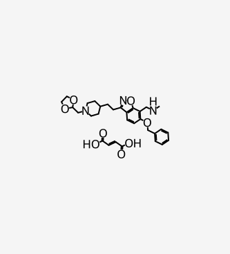 CNCc1c(OCc2ccccc2)ccc2c(CCC3CCN(CC4OCCO4)CC3)noc12.O=C(O)C=CC(=O)O